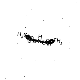 Cc1ccc(S(=O)(=O)CCOCCNCCOCCS(=O)(=O)c2ccc(C)cc2)cc1